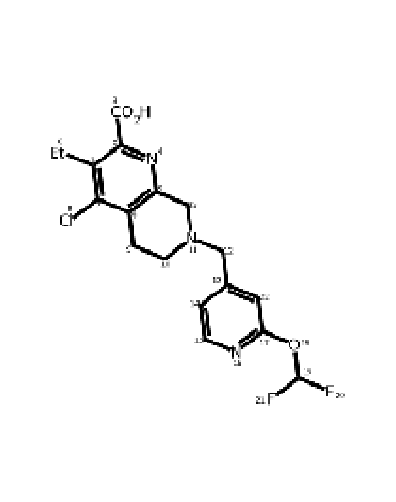 CCc1c(C(=O)O)nc2c(c1Cl)CCN(Cc1ccnc(OC(F)F)c1)C2